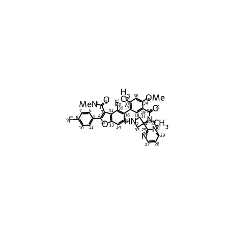 CNC(=O)c1c(-c2ccc(F)cc2)oc2ccc(-c3cc(C(=O)N(C)C4(c5ncccn5)CNC4)c(OC)cc3C)c(F)c12